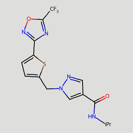 CC(C)NC(=O)c1cnn(Cc2ccc(-c3noc(C(F)(F)F)n3)s2)c1